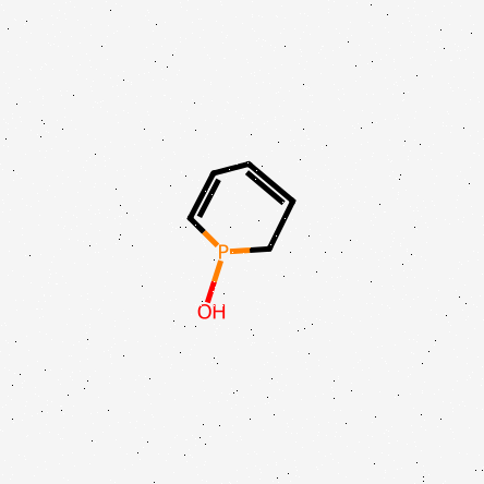 OP1C=CC=CC1